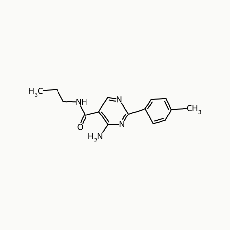 CCCNC(=O)c1cnc(-c2ccc(C)cc2)nc1N